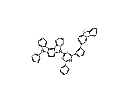 c1ccc(-c2nc(-c3cccc(-c4ccc5oc6ccccc6c5c4)c3)nc(-n3c4ccccc4c4c5c6ccccc6n(-c6ccccc6)c5ccc43)n2)cc1